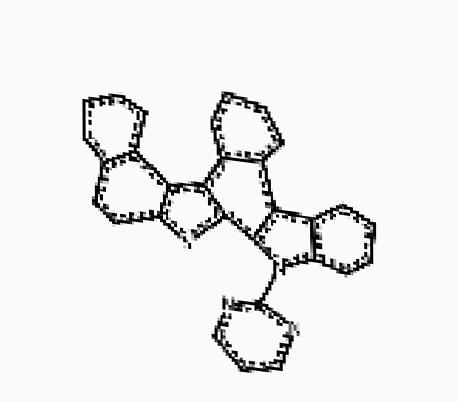 c1cnc(-n2c3ccccc3c3c4ccccc4c4c(sc5ccc6ccccc6c54)c32)nc1